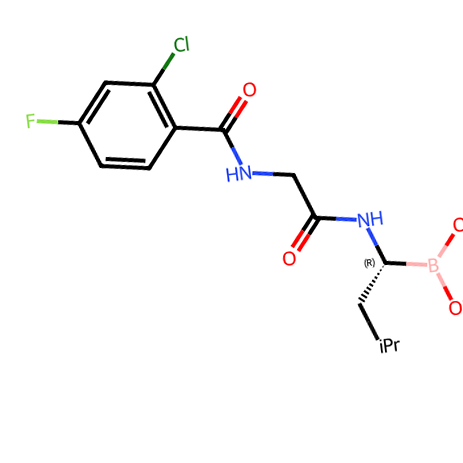 CC(C)C[C@H](NC(=O)CNC(=O)c1ccc(F)cc1Cl)B(O)O